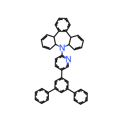 C1=CC2c3ccccc3C3C=CC=CC3N(c3ccc(-c4cc(-c5ccccc5)cc(-c5ccccc5)c4)cn3)C2C=C1